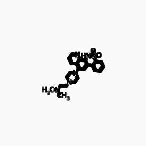 CN(C)CCN1CCN(c2cc3c(c4ncccc24)NS(=O)(=O)c2ccccc2-3)CC1